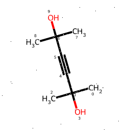 [CH2]C(C)(O)C#CC(C)(C)O